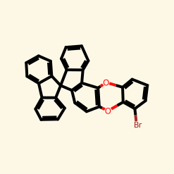 Brc1cccc2c1Oc1ccc3c(c1O2)-c1ccccc1C31c2ccccc2-c2ccccc21